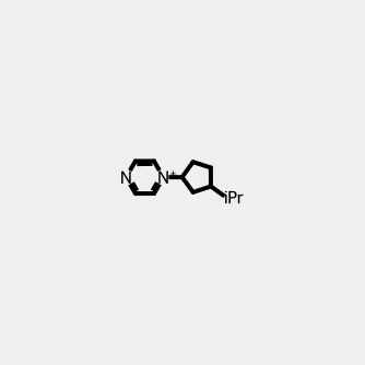 CC(C)C1CCC([n+]2ccncc2)C1